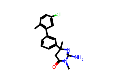 Cc1ccc(Cl)cc1-c1cccc(C2(C)CC(=O)N(C)C(N)=N2)c1